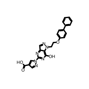 O=C(O)c1cnn(-c2nc(O)c3c(cnn3CCOc3ccc(-c4ccccc4)cc3)n2)c1